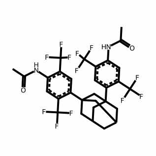 CC(=O)Nc1cc(C(F)(F)F)c(C23CC4CC(C2)CC(c2cc(C(F)(F)F)c(NC(C)=O)cc2C(F)(F)F)(C4)C3)cc1C(F)(F)F